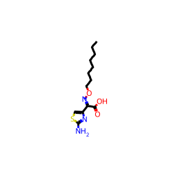 CCCCCCCCON=C(C(=O)O)c1csc(N)n1